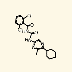 Cc1nc(NC(=O)NC(=O)c2c(Cl)cccc2Cl)cnc1C1CCCCC1